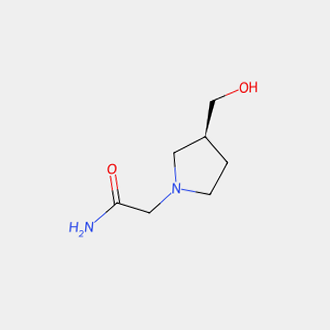 NC(=O)CN1CC[C@H](CO)C1